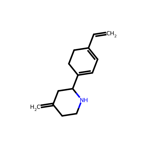 C=CC1=CC=C(C2CC(=C)CCN2)CC1